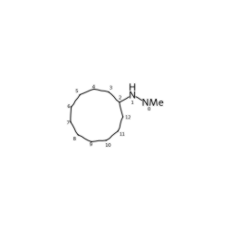 CNNC1CCCCCCCCCC1